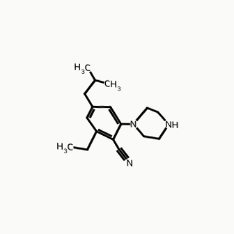 CCc1cc(CC(C)C)cc(N2CCNCC2)c1C#N